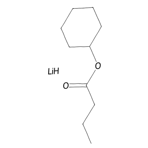 CCCC(=O)OC1CCCCC1.[LiH]